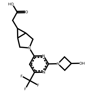 O=C(O)CC1C2CN(c3cc(C(F)(F)F)nc(N4CC(O)C4)n3)CC12